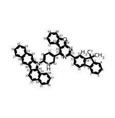 CC1(C)c2ccccc2-c2ccc(-c3nc(C4=CC=C(n5c6cc7ccccc7cc6c6ccc7ccccc7c65)NC4)c4c(n3)oc3ccccc34)cc21